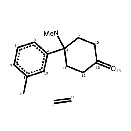 C=C.CNC1(c2cccc(C)c2)CCC(=O)CC1